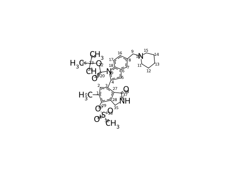 Cc1cc(-c2cc3cc(CN4CCCCC4)ccc3n2C(=O)OC(C)(C)C)c2c(c1OS(C)(=O)=O)CNC2=O